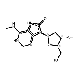 CNC1=c2[nH]c(=O)n([C@H]3C[C@H](O)[C@@H](CO)O3)c2=NCN1